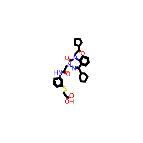 O=C(O)CSc1cccc(NC(=O)CN2N=C(C3CCCCC3)c3ccccc3N(CC(=O)C3CCCC3)C2=O)c1